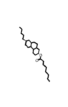 CCCCCCCC(=O)O[C@@H]1CCC2C(CCC3C[C@H](CCCCC)CCC32)C1